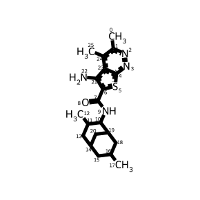 Cc1nnc2sc(C(=O)NC3C(C)CC4CC(C)CC3C4)c(N)c2c1C